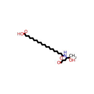 C=C(O)C(CCC=O)NC(=O)CCCCCCCCCCCCCCCCCCC(=O)O